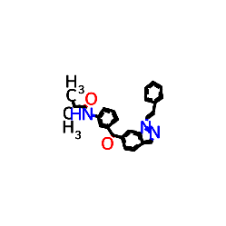 CC(C)C(=O)Nc1cccc(C(=O)c2ccc3cnn(C=Cc4ccccc4)c3c2)c1